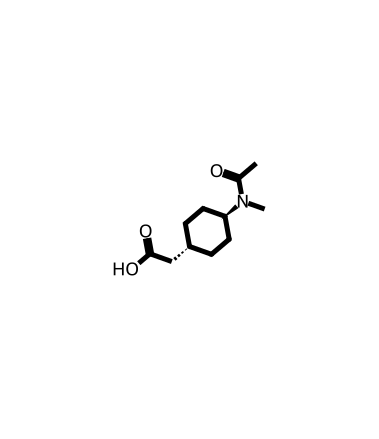 CC(=O)N(C)[C@H]1CC[C@H](CC(=O)O)CC1